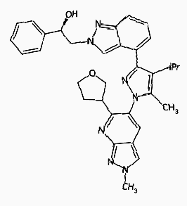 Cc1c(C(C)C)c(-c2cccc3nn(C[C@H](O)c4ccccc4)cc23)nn1-c1cc2cn(C)nc2nc1C1CCOC1